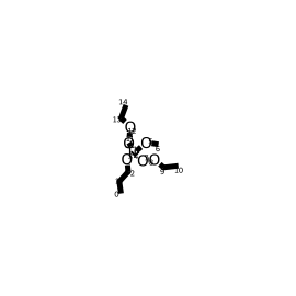 CCC[O][Ti]([O]C)([O]OCC)[O]OCC